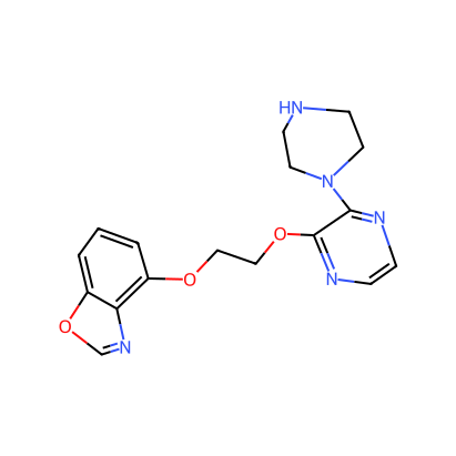 c1cc(OCCOc2nccnc2N2CCNCC2)c2ncoc2c1